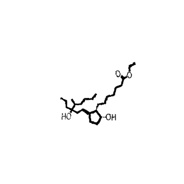 CCCCC(C)C(O)(CC=C1CC[C@@H](O)[C@@H]1CCCCCCC(=O)OCC)CCC